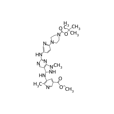 CCOC(=O)c1cnc(C)c(NC2NN(C)c3nc(Nc4ccc(N5CCN(C(=O)OC(C)(C)C)CC5)nc4)ncc32)c1